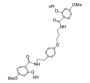 CCCOc1cc(OC)ccc1C(=O)NCCCOc1ccc(CCNC(=O)c2ccc(OC)cc2OCCC)cc1